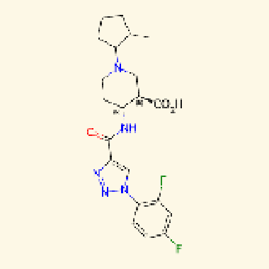 CC1CCCC1N1CC[C@@H](NC(=O)c2cn(-c3ccc(F)cc3F)nn2)[C@H](C(=O)O)C1